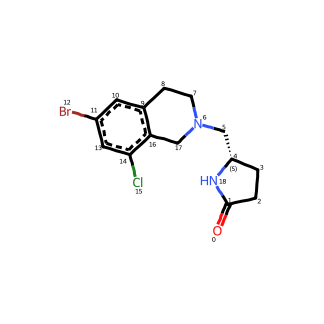 O=C1CC[C@@H](CN2CCc3cc(Br)cc(Cl)c3C2)N1